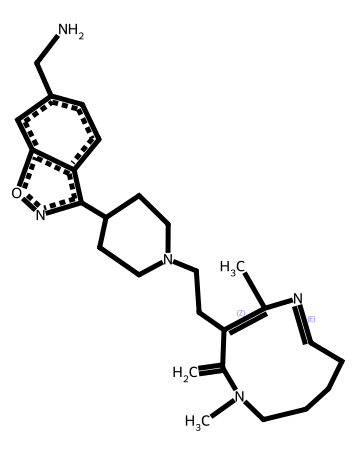 C=C1/C(CCN2CCC(c3noc4cc(CN)ccc34)CC2)=C(C)\N=C\CCCCN1C